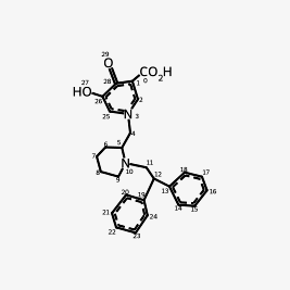 O=C(O)c1cn(CC2CCCCN2CC(c2ccccc2)c2ccccc2)cc(O)c1=O